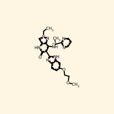 CCn1cc2[nH]c(=O)c(-c3nc4ccc(OCCOC)cc4[nH]3)c(N[C@@H](C)c3ncccn3)c2n1